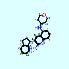 Nc1nc2cccc(NC3CCOCC3)c2cc1[C@@H]1CCc2ccccc21